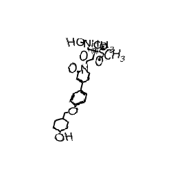 C[C@@](CCn1ccc(-c2ccc(OCC3CCC(O)CC3)cc2)cc1=O)(C(=O)NO)S(C)(=O)=O